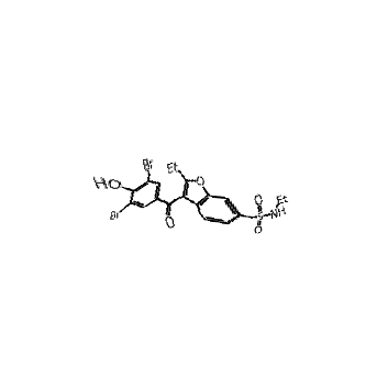 CCNS(=O)(=O)c1ccc2c(C(=O)c3cc(Br)c(O)c(Br)c3)c(CC)oc2c1